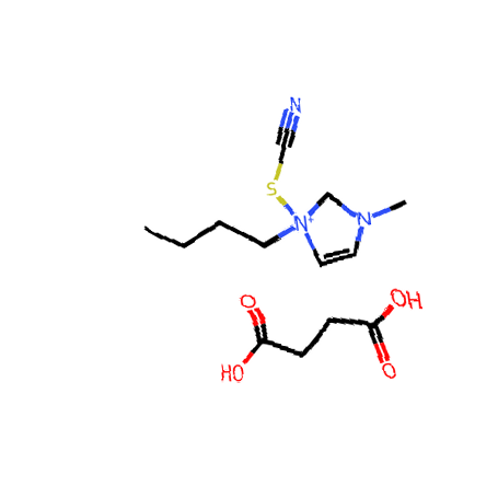 CCCC[N+]1(SC#N)C=CN(C)C1.O=C(O)CCC(=O)O